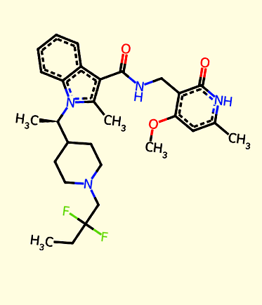 CCC(F)(F)CN1CCC([C@@H](C)n2c(C)c(C(=O)NCc3c(OC)cc(C)[nH]c3=O)c3ccccc32)CC1